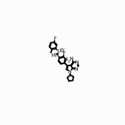 Cc1ccc(F)cc1[S+]([O-])Nc1ccc(-c2cn(C3CCCC3)c3ncnc(N)c23)cc1F